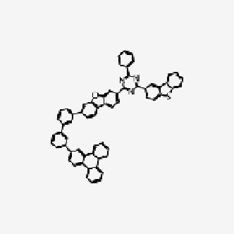 c1ccc(-c2nc(-c3ccc4c(c3)oc3cc(-c5cccc(-c6cccc(-c7ccc8c9ccccc9c9ccccc9c8c7)c6)c5)ccc34)nc(-c3ccc4sc5ccccc5c4c3)n2)cc1